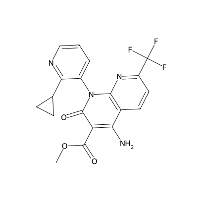 COC(=O)c1c(N)c2ccc(C(F)(F)F)nc2n(-c2cccnc2C2CC2)c1=O